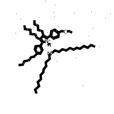 CCCCCCC1=C(c2ccc(CCCCCC)cc2)[N+](=[N-])C(c2ccc(CCCC)cc2)=C1CCCCC.CCCCCCCCCCC[CH2][Ni][CH2]CCCCCCCCCCC